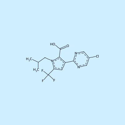 CC(C)Cn1c(C(F)(F)F)cc(-c2ncc(Cl)cn2)c1C(=O)O